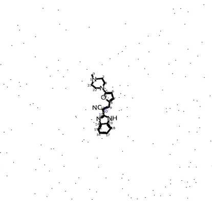 CN1CCN(c2ccc(/C=C(\C#N)c3nc4ccccc4[nH]3)o2)CC1